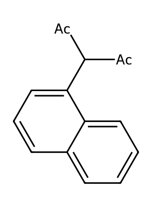 CC(=O)C(C(C)=O)c1cccc2ccccc12